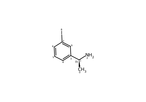 C[C@H](N)c1cccc(I)c1